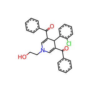 O=C(C1=CN(CCO)C=C(C(=O)c2ccccc2)C1c1ccccc1Cl)c1ccccc1